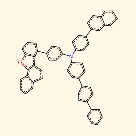 c1ccc(-c2ccc(-c3ccc(N(c4ccc(-c5ccc6ccccc6c5)cc4)c4ccc(-c5cccc6oc7c8ccccc8ccc7c56)cc4)cc3)cc2)cc1